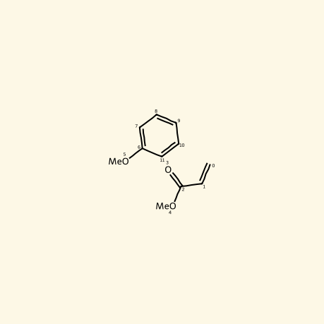 C=CC(=O)OC.COc1ccccc1